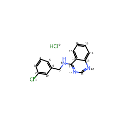 Cl.Clc1cccc(CNc2ncnc3ccccc23)c1